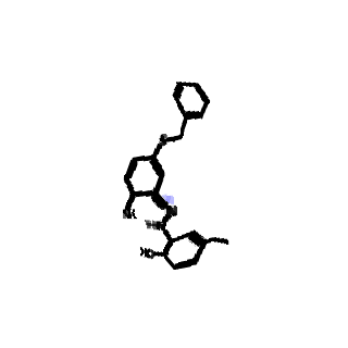 Cc1ccc(O)c(N/N=C2/C=C(SCc3ccccc3)C=CC2=N)c1